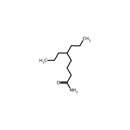 CCCC(CCC)CCCC(N)=O